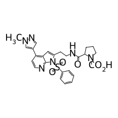 Cn1cc(-c2ccnc3c2cc(CCNC(=O)C2CCCN2C(=O)O)n3S(=O)(=O)c2ccccc2)cn1